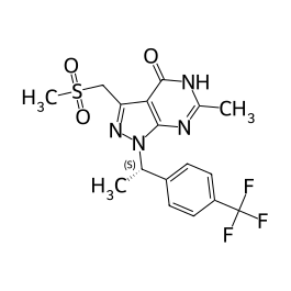 Cc1nc2c(c(CS(C)(=O)=O)nn2[C@@H](C)c2ccc(C(F)(F)F)cc2)c(=O)[nH]1